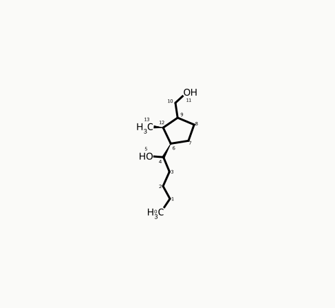 CCCCC(O)[C@@H]1CCC(CO)[C@@H]1C